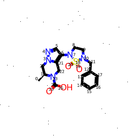 C[C@H]1Cn2ncc(N3CCN(Cc4ccccc4)S3(=O)=O)c2CN1C(=O)O